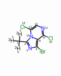 [2H]C([2H])([2H])c1nc(Br)c2c(Cl)ncc(Cl)n12